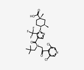 C[C@@H]1C[C@@](C)(C(=O)O)CC[C@@H]1n1ncc(C(=O)N(CC(=O)c2c(Cl)cncc2Cl)CC(C)(C)C)c1C(F)(F)F